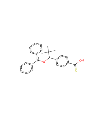 CC(C)(C)C(O[SiH](c1ccccc1)c1ccccc1)c1ccc(C(O)=S)cc1